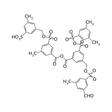 Cc1cc(COS(=O)(=O)c2cc(C)cc(C(=O)OC(=O)c3cc(COS(=O)(=O)c4cc(C)cc(C=O)c4)cc(S(=O)(=O)OS(=O)(=O)c4cc(C)cc(C)c4)c3)c2)cc(S(=O)(=O)O)c1